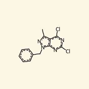 Cc1nn(Cc2ccccc2)c2nc(Cl)nc(Cl)c12